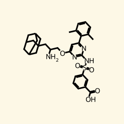 Cc1cccc(C)c1-c1cc(OCC(N)CC23CC4CC(CC(C4)C2)C3)nc(NS(=O)(=O)c2cccc(C(=O)O)c2)n1